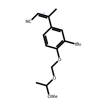 COC(C)OCOc1ccc(/C(C)=C\C#N)cc1C(C)(C)C